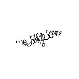 COc1ccc(CC(=O)NC(=N)Nc2cccc(C(=O)Nc3cc(S(N)(=O)=O)ccc3C)n2)cc1OC